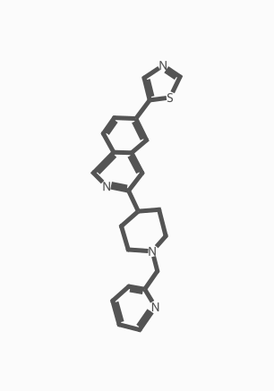 c1ccc(CN2CCC(c3cc4cc(-c5cncs5)ccc4cn3)CC2)nc1